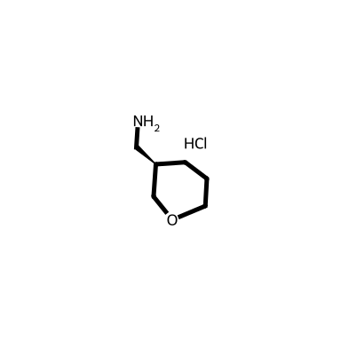 Cl.NC[C@H]1CCCOC1